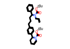 C=CCN(C(=O)OC(C)(C)C)C(CCCc1ccc(C2CCC=CN2C(=O)OC(C)(C)C)cc1)c1ccccc1